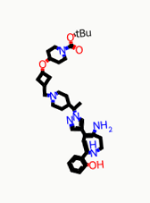 CC(C1CCN(CC2CC(OC3CCN(C(=O)OC(C)(C)C)CC3)C2)CC1)n1cc(C2=C(N)CCNC(c3ccccc3O)=C2)cn1